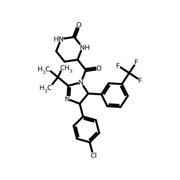 CC(C)(C)C1=NC(c2ccc(Cl)cc2)C(c2cccc(C(F)(F)F)c2)N1C(=O)C1CCNC(=O)N1